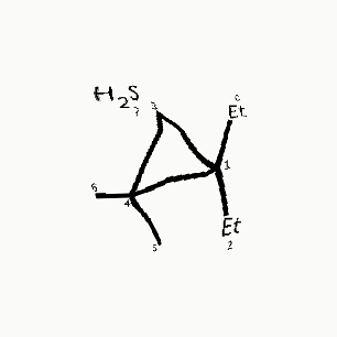 CCC1(CC)CC1(C)C.S